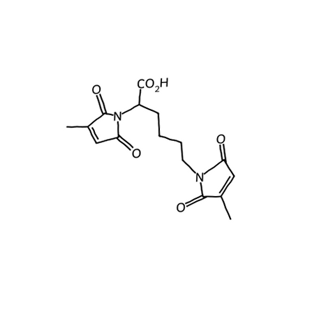 CC1=CC(=O)N(CCCCC(C(=O)O)N2C(=O)C=C(C)C2=O)C1=O